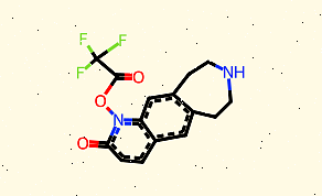 O=C(On1c(=O)ccc2cc3c(cc21)CCNCC3)C(F)(F)F